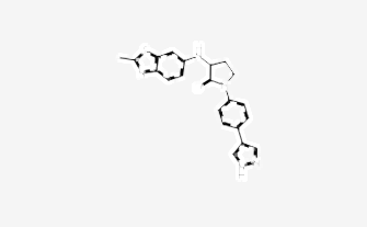 Cc1nc2ccc(NC3CCN(c4ccc(-c5cn[nH]c5)cc4)C3=O)cc2s1